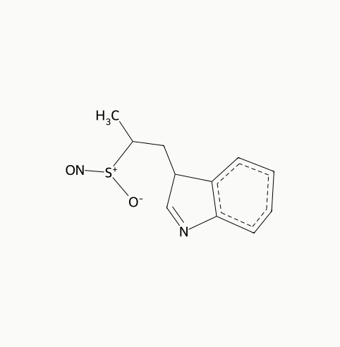 CC(CC1C=Nc2ccccc21)[S+]([O-])N=O